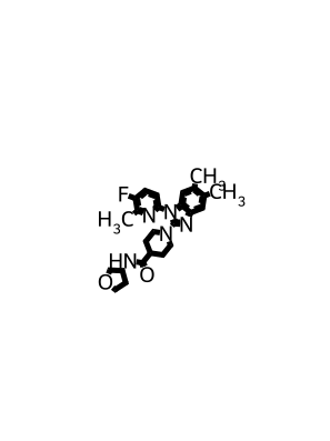 Cc1cc2nc(N3CCC(C(=O)N[C@@H]4CCOC4)CC3)n(-c3ccc(F)c(C)n3)c2cc1C